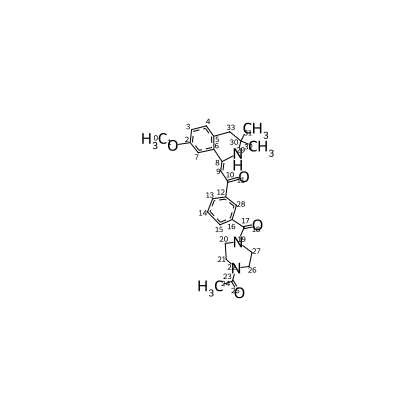 COc1ccc2c(c1)/C(=C/C(=O)c1cccc(C(=O)N3CCN(C(C)=O)CC3)c1)NC(C)(C)C2